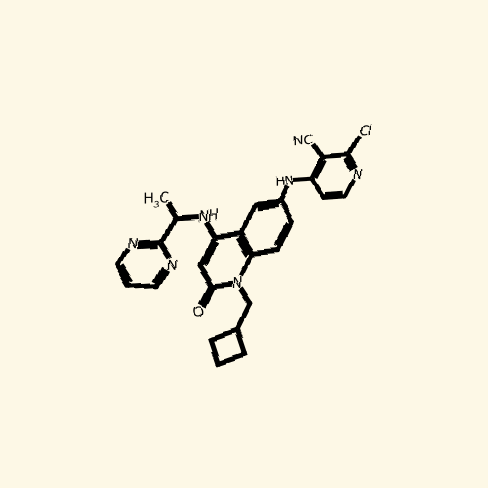 CC(Nc1cc(=O)n(CC2CCC2)c2ccc(Nc3ccnc(Cl)c3C#N)cc12)c1ncccn1